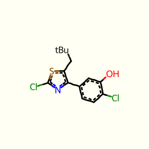 CC(C)(C)Cc1sc(Cl)nc1-c1ccc(Cl)c(O)c1